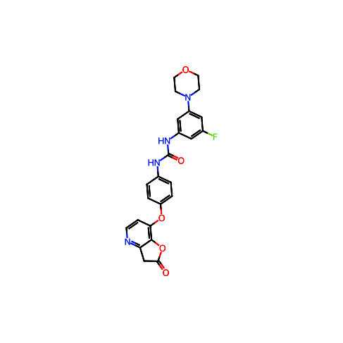 O=C(Nc1ccc(Oc2ccnc3c2OC(=O)C3)cc1)Nc1cc(F)cc(N2CCOCC2)c1